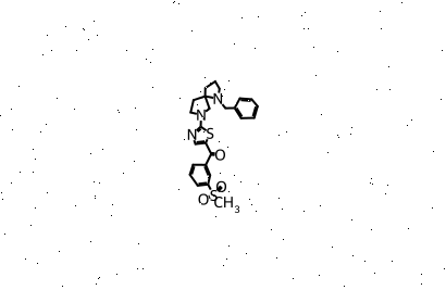 CS(=O)(=O)c1cccc(C(=O)c2cnc(N3CCC4(CCCN4Cc4ccccc4)C3)s2)c1